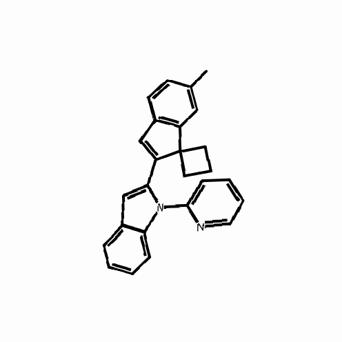 Cc1ccc2c(c1)C1(CCC1)C(c1cc3ccccc3n1-c1ccccn1)=C2